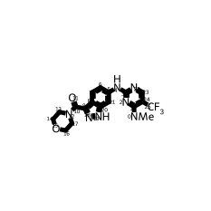 CNc1nc(Nc2ccc3c(C(=O)N4CCOCC4)n[nH]c3c2)ncc1C(F)(F)F